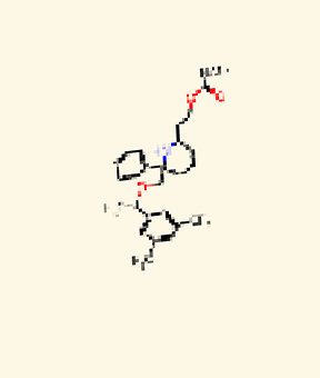 CNC(=O)OCCC1CCCC(COC(C)c2cc(C(F)(F)F)cc(C(F)(F)F)c2)(c2ccccc2)N1